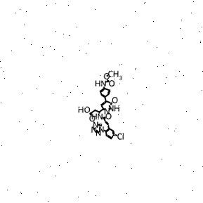 COC(=O)Nc1ccc(-c2cc(C(CC(=O)O)NC(=O)/C=C/c3cc(Cl)ccc3-n3cnnn3)n[nH]c2=O)cc1